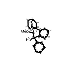 COC(=O)C(O)(c1ccccc1)c1ccccc1C1CC2CCN1CC2